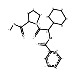 COC(=O)C1CCCN1C(=O)C(NC(=O)c1cnccn1)C1CCCCC1